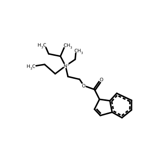 CCC[N+](CC)(CCOC(=O)C1C=Cc2ccccc21)C(C)CC